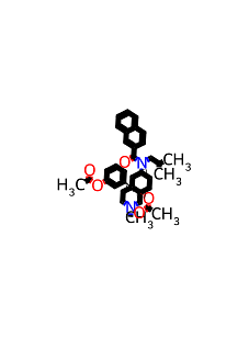 CC(=O)Oc1cccc([C@@]23CCN(C)C[C@@]2(OC(C)=O)CC[C@H](N(CC(C)C)C(=O)c2ccc4ccccc4c2)C3)c1